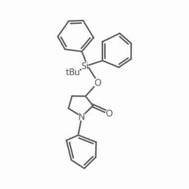 CC(C)(C)[Si](OC1CCN(c2ccccc2)C1=O)(c1ccccc1)c1ccccc1